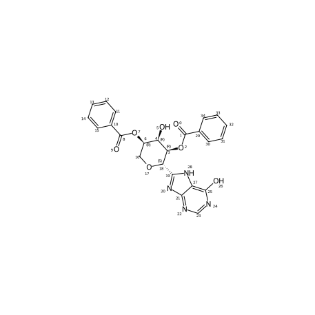 O=C(O[C@@H]1[C@H](O)[C@H](OC(=O)c2ccccc2)CO[C@H]1c1nc2ncnc(O)c2[nH]1)c1ccccc1